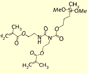 C=C(C)C(=O)OCCNC(=O)N(CCOC(=O)C(=C)C)C(=O)OCCC[Si](C)(OC)OC